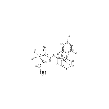 Cc1cc(C)c(C23CC4CC(CC(COC(=O)C(F)(F)SOO)(C4)C2)C3)c(C)c1